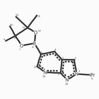 CC(C)n1cc2cc(B3OC(C)(C)C(C)(C)O3)cnc2n1